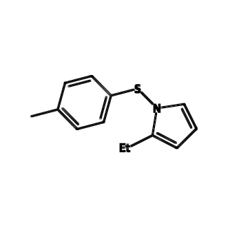 CCc1cccn1Sc1ccc(C)cc1